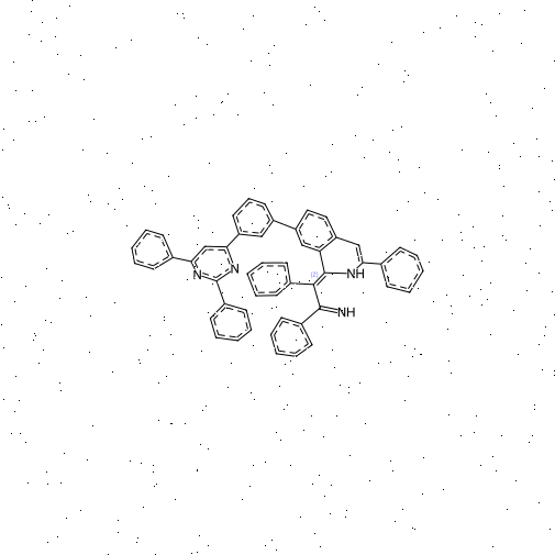 N=C(/C(=C1\NC(c2ccccc2)=Cc2ccc(-c3cccc(-c4cc(-c5ccccc5)nc(-c5ccccc5)n4)c3)cc21)c1ccccc1)c1ccccc1